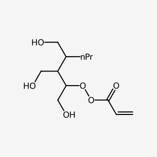 C=CC(=O)OOC(CO)C(CO)C(CO)CCC